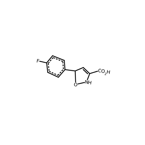 O=C(O)C1=CC(c2ccc(F)cc2)ON1